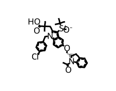 CC(=O)N1c2ccccc2C[C@H]1COc1ccc2c(c1)c([S+]([O-])C(C)(C)C)c(CC(C)(C)C(=O)O)n2Cc1ccc(Cl)cc1